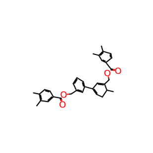 Cc1ccc(C(=O)OCC2=CC(c3cccc(COC(=O)c4ccc(C)c(C)c4)c3)=CCC2C)cc1C